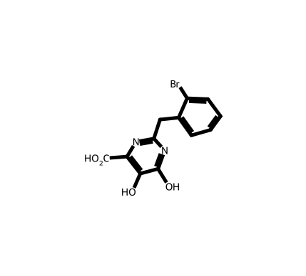 O=C(O)c1nc(Cc2ccccc2Br)nc(O)c1O